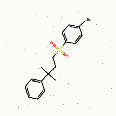 CC(C)(C)c1ccc(S(=O)(=O)CCC(C)(C)c2ccccc2)cc1